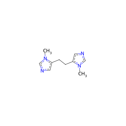 Cn1cncc1CCc1cncn1C